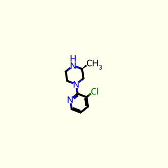 C[C@H]1CN(c2ncccc2Cl)CCN1